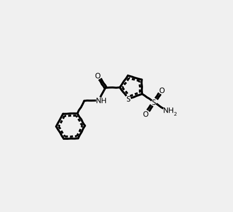 NS(=O)(=O)c1ccc(C(=O)NCc2ccccc2)s1